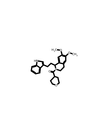 COc1cc2c(cc1OC)C(CCc1c[nH]c3ccccc13)N(C(=O)C1CCOCC1)CC2